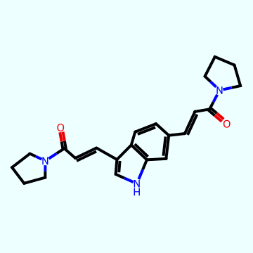 O=C(/C=C/c1ccc2c(/C=C/C(=O)N3CCCC3)c[nH]c2c1)N1CCCC1